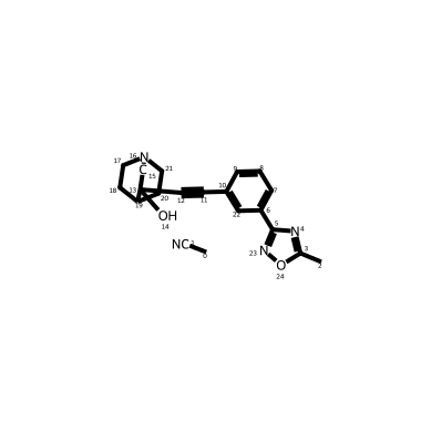 CC#N.Cc1nc(-c2cccc(C#CC3(O)CN4CCC3CC4)c2)no1